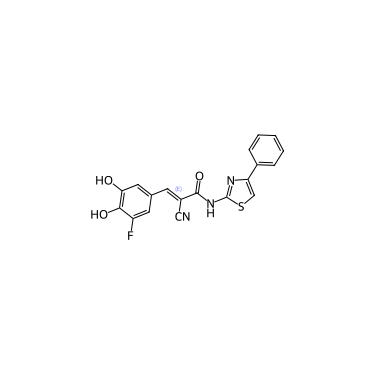 N#C/C(=C\c1cc(O)c(O)c(F)c1)C(=O)Nc1nc(-c2ccccc2)cs1